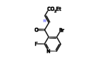 CCOC(=O)/C=C/C(=O)c1c(Br)ccnc1F